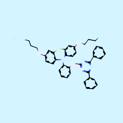 O=S(=O)(O)CCCOc1ccc2c(c1)Sc1cc(OCCCS(=O)(=O)O)ccc1N2c1ccccc1Oc1nc(-c2ccccc2)nc(-c2ccccc2)n1